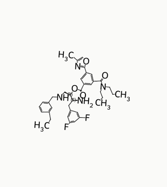 CCCN(CCC)C(=O)c1cc(C(=O)O[C@H](CNCc2cccc(CC)c2)[C@@H](N)Cc2cc(F)cc(F)c2)cc(-c2nc(C)co2)c1